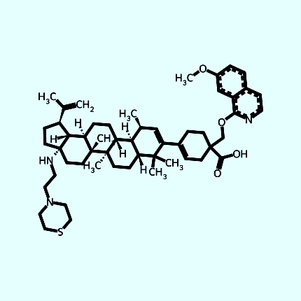 C=C(C)[C@@H]1CC[C@]2(NCCN3CCSCC3)CC[C@]3(C)[C@H](CC[C@@H]4[C@@H]5[C@@H](CC[C@]43C)C(C)(C)C(C3=CCC(COc4nccc6ccc(OC)cc46)(C(=O)O)CC3)=C[C@@H]5C)[C@@H]12